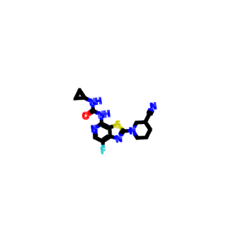 N#CC1CCCN(c2nc3c(F)cnc(NC(=O)NC4CC4)c3s2)C1